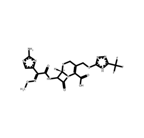 CON=C(C(=O)NC1C(=O)N2C(C(=O)O)=C(CSc3nnc(C(F)(F)F)[nH]3)CS[C@@H]12)c1csc(N)n1